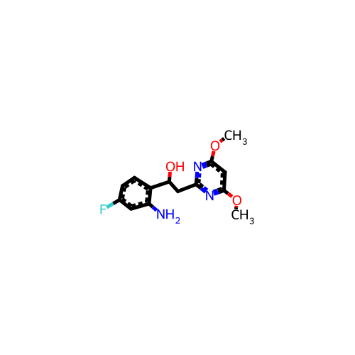 COc1cc(OC)nc(CC(O)c2ccc(F)cc2N)n1